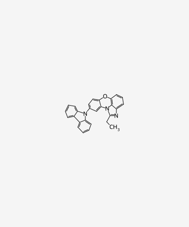 CCc1nc2cccc3c2n1-c1cc(-n2c4ccccc4c4ccccc42)ccc1O3